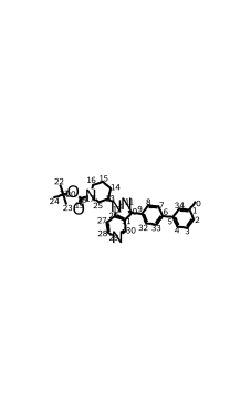 Cc1cccc(-c2ccc(-c3nn(C4CCCN(C(=O)OC(C)(C)C)C4)c4ccncc34)cc2)c1